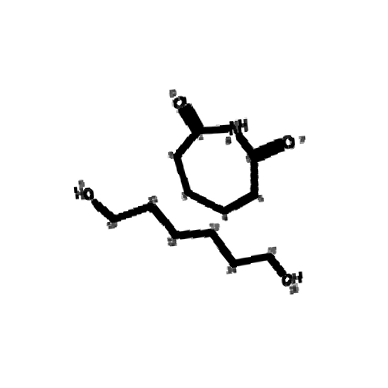 O=C1CCCCC(=O)N1.OCCCCCCO